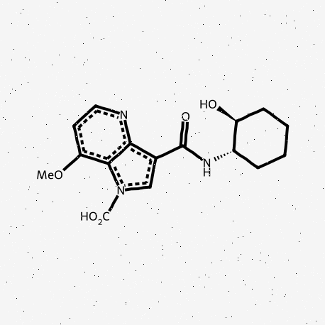 COc1ccnc2c(C(=O)N[C@H]3CCCC[C@@H]3O)cn(C(=O)O)c12